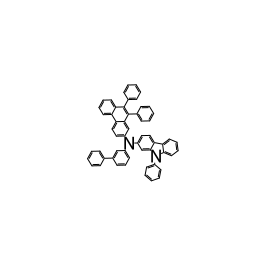 c1ccc(-c2cccc(N(c3ccc4c(c3)c(-c3ccccc3)c(-c3ccccc3)c3ccccc34)c3ccc4c5ccccc5n(-c5ccccc5)c4c3)c2)cc1